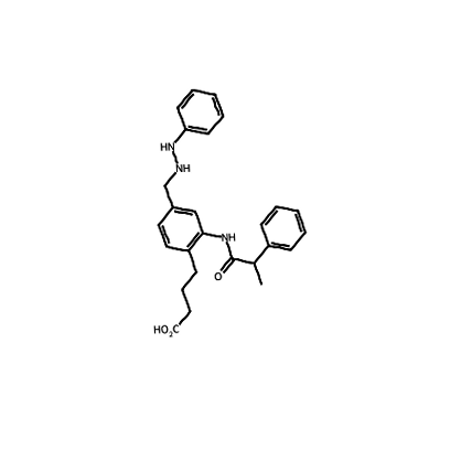 CC(C(=O)Nc1cc(CNNc2ccccc2)ccc1CCCC(=O)O)c1ccccc1